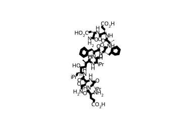 CC(C)C[C@H](NC(=O)[C@H](CC(N)=O)NC(=O)[C@@H](NC(=O)[C@@H](N)CCC(=O)O)C(C)C)[C@@H](O)C[C@@H](C)C(=O)N[C@H](C(=O)N[C@@H](Cc1ccccc1)C(=O)N[C@@H](Cc1ccccc1)C(=O)N[C@@H](C)C(=O)N[C@@H](CCC(=O)O)C(=O)N[C@@H](CC(=O)O)C(N)=O)C(C)C